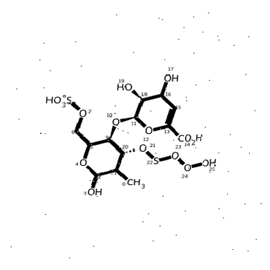 CC1C(O)OC(COS(=O)(=O)O)[C@@H](O[C@@H]2OC(C(=O)O)=CC(O)[C@@H]2O)[C@@H]1OSOOO